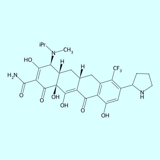 CC(C)N(C)[C@@H]1C(O)=C(C(N)=O)C(=O)[C@@]2(O)C(O)=C3C(=O)c4c(O)cc(C5CCCN5)c(C(F)(F)F)c4C[C@H]3C[C@@H]12